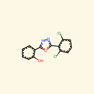 Oc1ccccc1-c1nnc(-c2c(Cl)cccc2Cl)o1